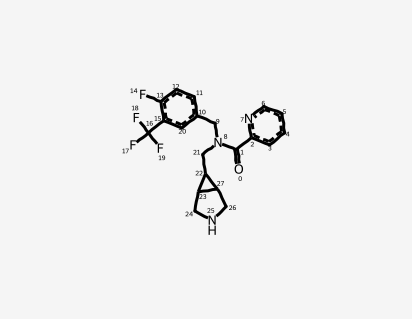 O=C(c1ccccn1)N(Cc1ccc(F)c(C(F)(F)F)c1)CC1C2CNCC21